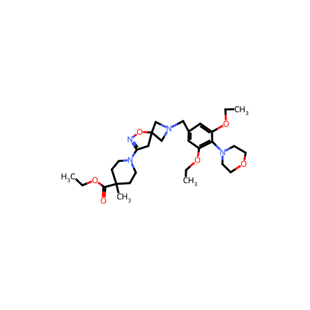 CCOC(=O)C1(C)CCN(C2=NOC3(C2)CN(Cc2cc(OCC)c(N4CCOCC4)c(OCC)c2)C3)CC1